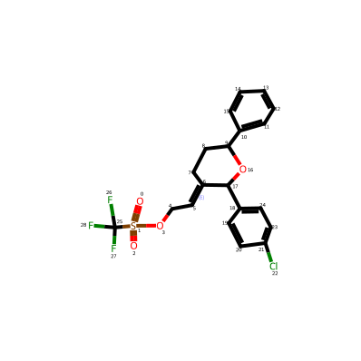 O=S(=O)(OC/C=C1\CCC(c2ccccc2)OC1c1ccc(Cl)cc1)C(F)(F)F